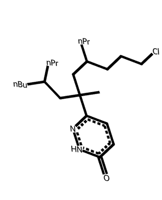 CCCCC(CCC)CC(C)(CC(CCC)CCCCl)c1ccc(=O)[nH]n1